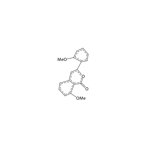 COc1ccccc1-c1cc2cccc(OC)c2c(=O)o1